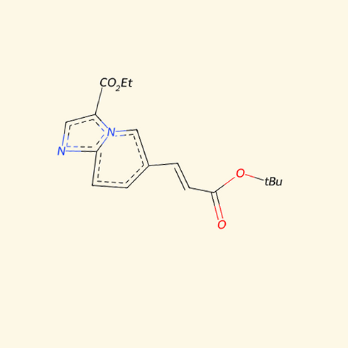 CCOC(=O)c1cnc2ccc(C=CC(=O)OC(C)(C)C)cn12